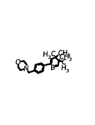 CC1(C)C=BC(c2ccc(CN3CCOCC3)cc2)=CC1(C)C